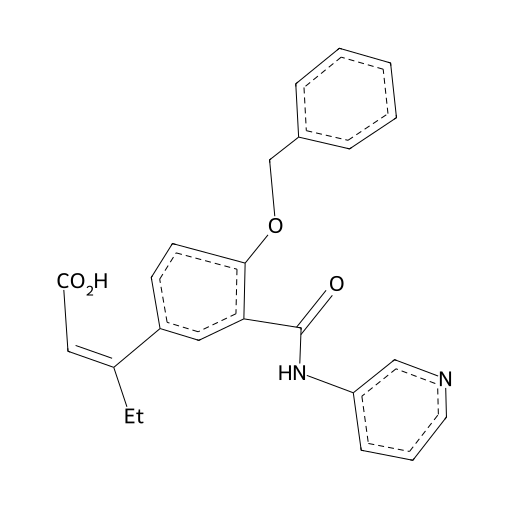 CC/C(=C/C(=O)O)c1ccc(OCc2ccccc2)c(C(=O)Nc2cccnc2)c1